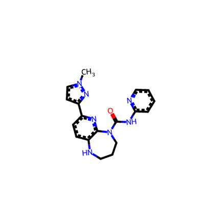 Cn1ccc(-c2ccc3c(n2)N(C(=O)Nc2ccccn2)CCCN3)n1